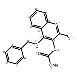 COC(=O)Oc1c(C)nc2ccccc2c1NCc1ccccc1